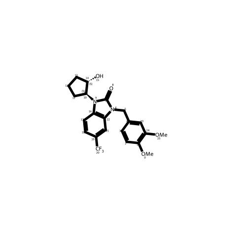 COc1ccc(Cn2c(=O)n([C@H]3CCC[C@@H]3O)c3ccc(C(F)(F)F)cc32)cc1OC